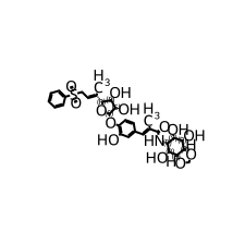 CC(=Cc1ccc(O[C@@H]2O[C@H](C(C)=CCS(=O)(=O)c3ccccc3)[C@@H](O)[C@@H]2O)c(O)c1)C(=O)N[C@@H]1[C@H](O)[C@@H](O)[C@H]2OCO[C@H]2[C@@H]1O